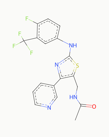 CC(=O)NCc1sc(Nc2ccc(F)c(C(F)(F)F)c2)nc1-c1cccnc1